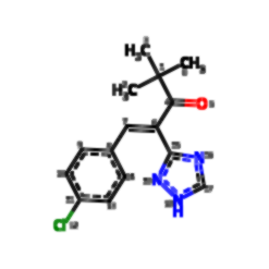 CC(C)(C)C(=O)/C(=C/c1ccc(Cl)cc1)c1nc[nH]n1